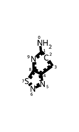 Nc1ccc2nnsc2n1